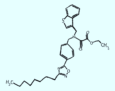 CCCCCCCCc1noc(-c2ccc(CN(Cc3csc4ccccc34)C(=O)C(=O)OCC)cc2)n1